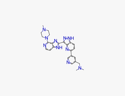 CN(C)Cc1cncc(-c2ccc3[nH]nc(-c4nc5c(N6CCN(C)CC6)nccc5[nH]4)c3n2)c1